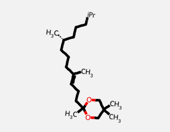 C/C(=C\CCC1(C)OCC(C)(C)CO1)CCC[C@H](C)CCCC(C)C